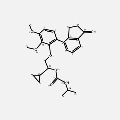 COc1ccc(-c2cccc3c2CCC3=O)c(OCC(OC(=O)NC(C)C)C2CC2)c1OC